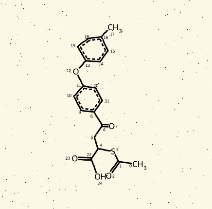 CC(=O)SC(CC(=O)c1ccc(Oc2ccc(C)cc2)cc1)C(=O)O